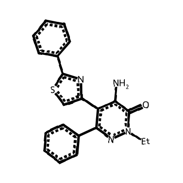 CCn1nc(-c2ccccc2)c(-c2csc(-c3ccccc3)n2)c(N)c1=O